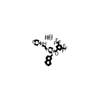 Cl.Cl.O=C(c1cc(C(F)(F)F)cc(C(F)(F)F)c1)N1CCN(CCCNN2CCOCC2)C[C@H]1Cc1ccc2ccccc2c1